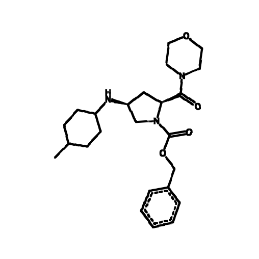 CC1CCC(N[C@H]2C[C@@H](C(=O)N3CCOCC3)N(C(=O)OCc3ccccc3)C2)CC1